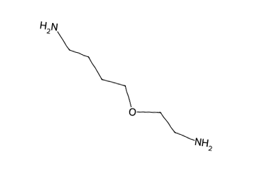 NCCCCOCCN